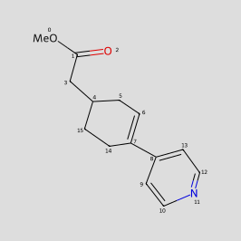 COC(=O)CC1CC=C(c2ccncc2)CC1